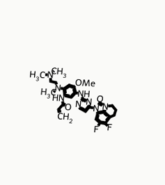 C=CC(=O)Nc1cc(Nc2nccc(-n3c(=O)n4c5c(c(F)c(F)cc53)CCC4)n2)c(OC)cc1N(C)CCN(C)C